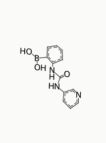 O=C(Nc1cccnc1)Nc1ccccc1B(O)O